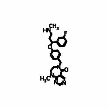 CNCCC(Oc1ccc(CN2CCN(C)c3ncncc3C2=O)cc1)c1cccc(F)c1